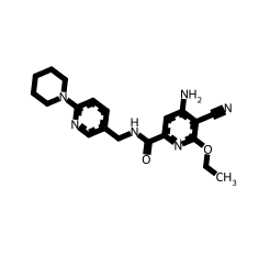 CCOc1nc(C(=O)NCc2ccc(N3CCCCC3)nc2)cc(N)c1C#N